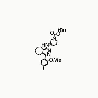 COc1cc(C)ccc1-c1nnc(N[C@@H]2CCCN(C(=O)OC(C)(C)C)C2)c2c1CCCCC2